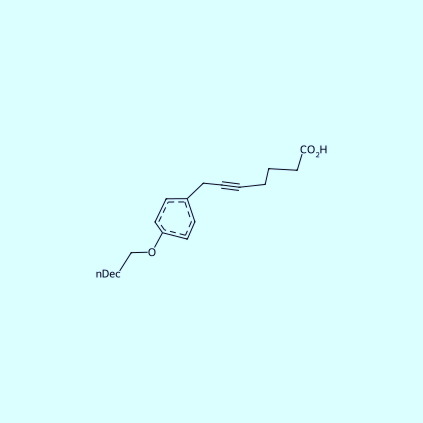 CCCCCCCCCCCOc1ccc(CC#CCCCC(=O)O)cc1